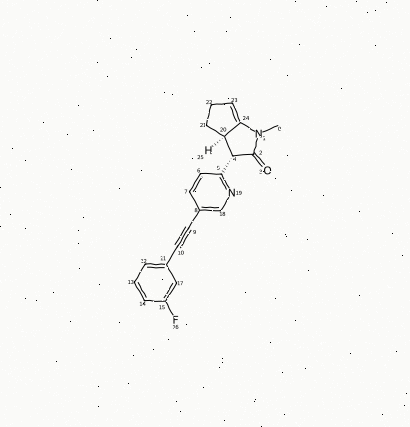 CN1C(=O)[C@H](c2ccc(C#Cc3cccc(F)c3)cn2)[C@H]2CCC=C21